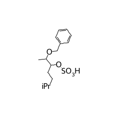 CC(C)CCC(OS(=O)(=O)O)C(C)OCc1ccccc1